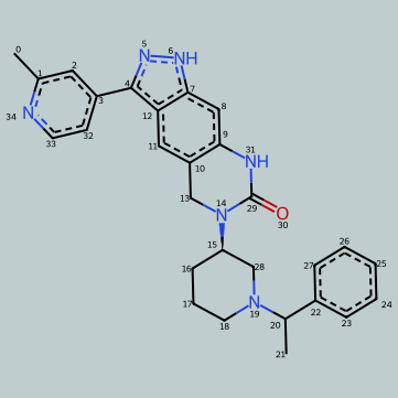 Cc1cc(-c2n[nH]c3cc4c(cc23)CN([C@@H]2CCCN(C(C)c3ccccc3)C2)C(=O)N4)ccn1